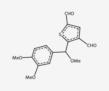 COc1ccc(C(OC)c2sc(C=O)cc2C=O)cc1OC